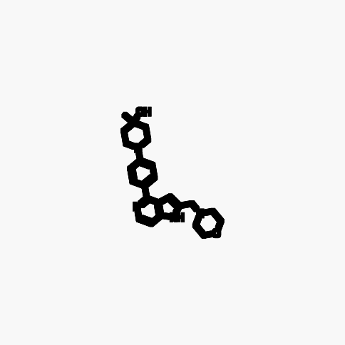 CC1(O)CCN(c2ccc(-c3nccc4[nH]c(CN5CCOCC5)cc34)cc2)CC1